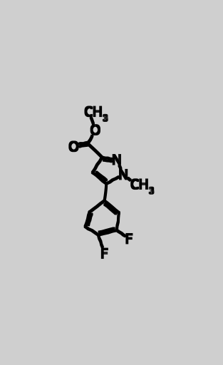 COC(=O)c1cc(-c2ccc(F)c(F)c2)n(C)n1